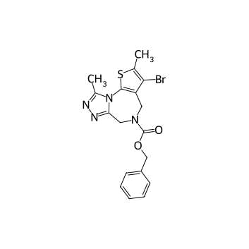 Cc1sc2c(c1Br)CN(C(=O)OCc1ccccc1)Cc1nnc(C)n1-2